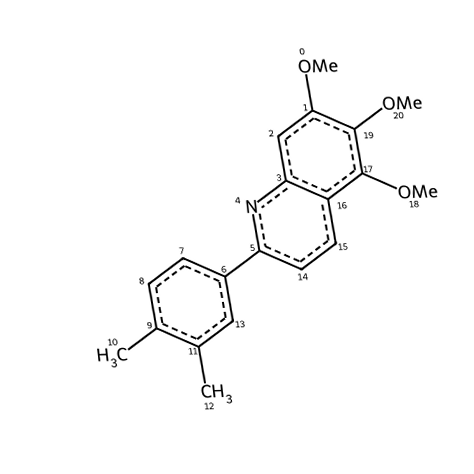 COc1cc2nc(-c3ccc(C)c(C)c3)ccc2c(OC)c1OC